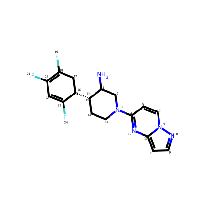 NC1CN(c2ccn3nccc3n2)CC[C@@H]1C1CC(F)=C(F)C=C1F